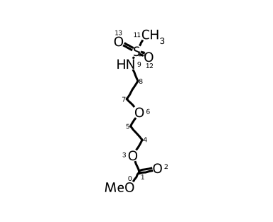 COC(=O)OCCOCCNS(C)(=O)=O